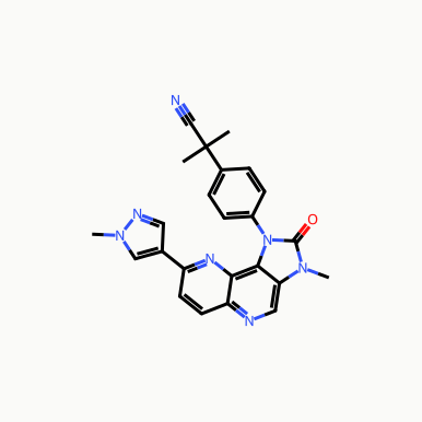 Cn1cc(-c2ccc3ncc4c(c3n2)n(-c2ccc(C(C)(C)C#N)cc2)c(=O)n4C)cn1